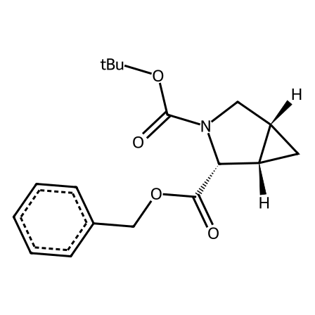 CC(C)(C)OC(=O)N1C[C@@H]2C[C@@H]2[C@@H]1C(=O)OCc1ccccc1